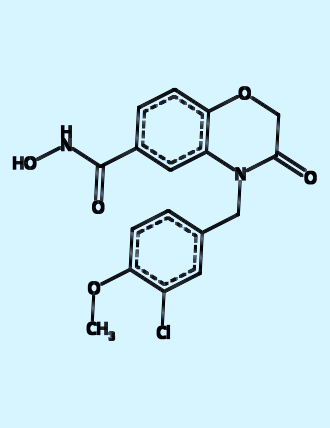 COc1ccc(CN2C(=O)COc3ccc(C(=O)NO)cc32)cc1Cl